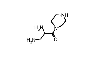 NC[C@@H](N)C(=O)N1CCNCC1